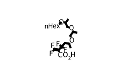 CCCCCCOC(C)COC(C)COC(C)CC(F)(F)C(C(=O)O)=C(F)F